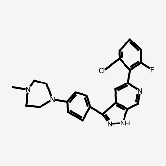 CN1CCN(c2ccc(-c3n[nH]c4cnc(-c5c(F)cccc5Cl)cc34)cc2)CC1